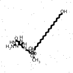 CCOP(=O)(C[C@@H](O)CNCc1c[nH]c2c(=O)[nH]c(N)nc12)OCCCCCCCCCCCCCCCCCCCCCO